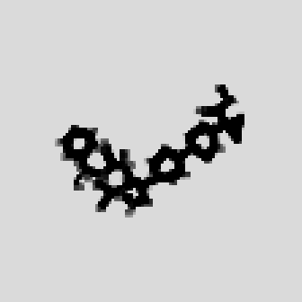 COC(=O)C1(c2ccc(-c3ccc(-c4cnn(C(C)C)c4NC(=O)O[C@H](C)c4ccccc4)cc3)cc2)CC1